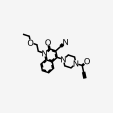 C#CC(=O)N1CCN(c2c(C#N)c(=O)n(CCOCC)c3ccccc23)CC1